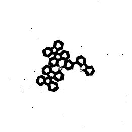 c1ccc2c(c1)-c1ccccc1C21c2ccccc2-c2c(N(c3ccc(-c4cccc5c4sc4ccccc45)cc3)c3cccc4c3-c3ccccc3C43c4ccccc4-c4ccccc43)cccc21